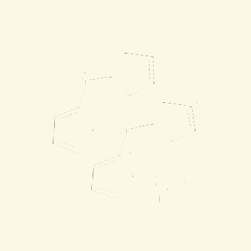 C1=CC[C]([Zr][C]2=CC=CC2)=C1.C1=CC[C]([Zr][C]2=CC=CC2)=C1.CCBr.CCBr